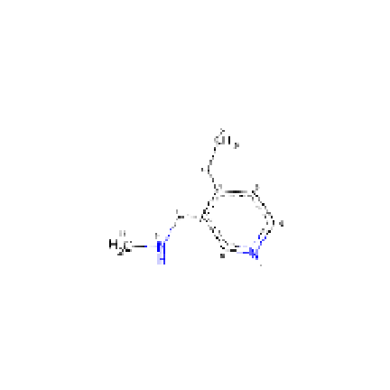 CCc1ccncc1CNC